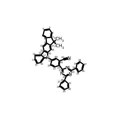 CC1(C)c2ccccc2-c2cc3c4ccccc4n(-c4ccc(-c5nc(-c6ccccc6)nc(-c6ccccc6)n5)c(C#N)c4)c3cc21